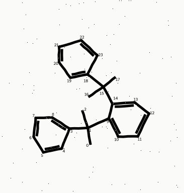 CC(C)(c1[c]cccc1)c1ccccc1C(C)(C)c1ccccc1